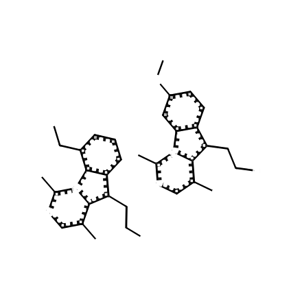 CCc1cccc2c(CCCl)c3c(C)cnc(C)n3c12.COc1ccc2c(CCCl)c3c(C)cnc(C)n3c2c1